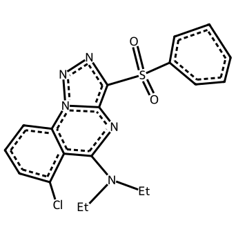 CCN(CC)c1nc2c(S(=O)(=O)c3ccccc3)nnn2c2cccc(Cl)c12